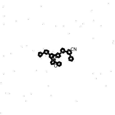 N#Cc1cc(-c2ccccc2)cc(-c2cccc(-c3ccc4c(c3)c3cc(-c5cccc(-c6ccccc6)c5)cc5c6ccc7oc8ccccc8c7c6n4c35)c2)c1